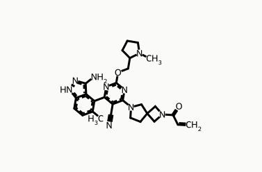 C=CC(=O)N1CC2(CCN(c3nc(OCC4CCCN4C)nc(-c4c(C)ccc5[nH]nc(N)c45)c3C#N)C2)C1